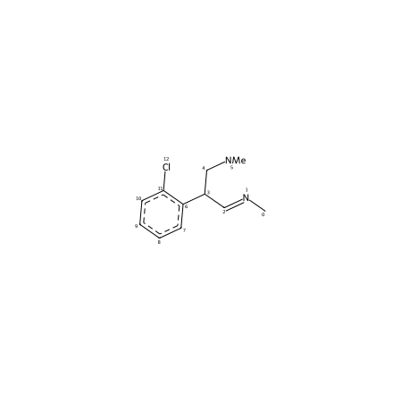 CN=CC(CNC)c1ccccc1Cl